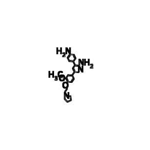 COc1cc(-c2cnc(N)c(-c3ccc(N)cc3)c2)ccc1OCCN1CCCC1